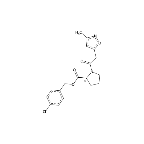 Cc1cc(CC(=O)N2CCC[C@H]2C(=O)OCc2ccc(Cl)cc2)on1